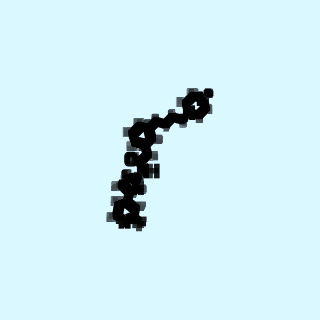 CN1CCN(CCCCc2cccc(CC(=O)Nc3nc(-c4ccnc(F)c4)cs3)c2)CC1